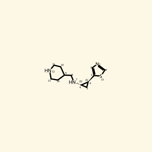 c1ncc([C@H]2C[C@@H]2NCC2CCNCC2)s1